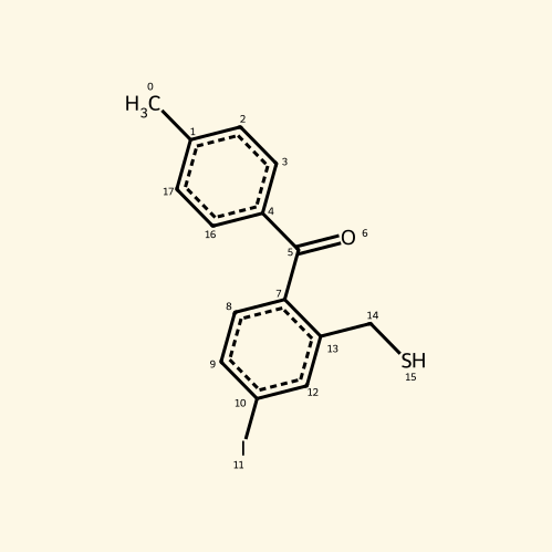 Cc1ccc(C(=O)c2ccc(I)cc2CS)cc1